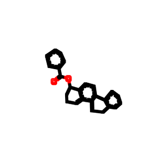 O=C(OC1CCC=c2c1ccc1c2=CCc2ccccc2-1)c1ccccc1